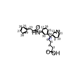 O=C(O)CCC/C=C(\c1cccnc1)c1cccc(NC(=O)CCc2ccccc2)c1